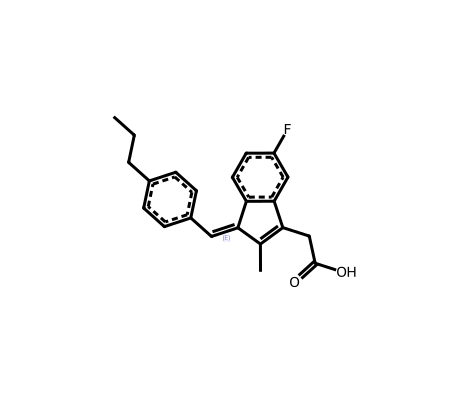 CCCc1ccc(/C=C2/C(C)=C(CC(=O)O)c3cc(F)ccc32)cc1